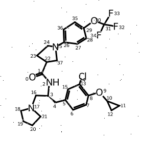 O=C(N[C@@H](Cc1ccc(OC2CC2)c(Cl)c1)CN1CCCC1)C1CCN(c2ccc(OC(F)(F)F)cc2)C1